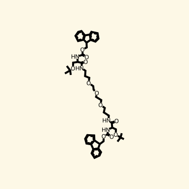 CC(C)(C)OCC(NC(=O)OCC1c2ccccc2-c2ccccc21)C(=O)NCCCOCCOCCOCCCNC(=O)C(COC(C)(C)C)NC(=O)OCC1c2ccccc2-c2ccccc21